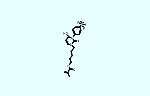 C=C(C)C(=O)OCCCCCN1C=CC(O)N(c2ccc(S(F)(F)(F)(F)F)cc2)C1=O